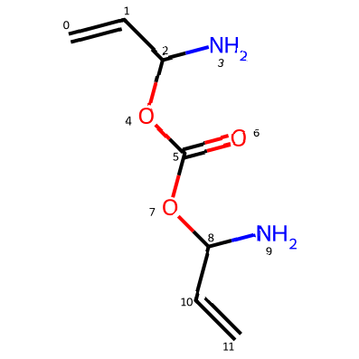 C=CC(N)OC(=O)OC(N)C=C